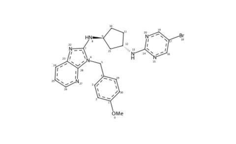 COc1ccc(Cn2c(N[C@H]3CC[C@H](Nc4ncc(Br)cn4)C3)nc3cccnc32)cc1